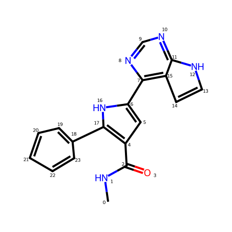 CNC(=O)c1cc(-c2ncnc3[nH]ccc23)[nH]c1-c1ccccc1